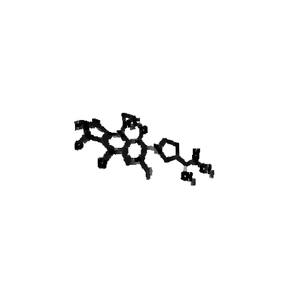 CN[C@H](C)C1CCN(c2c(F)cc3c(=O)c4c(=O)[nH]sc4n(C4CC4)c3c2OC)C1